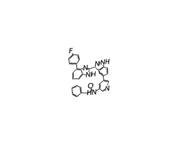 O=C(Cc1ccccc1)Nc1cncc(-c2ccc3[nH]nc(-c4nc5c(-c6ccc(F)cc6)cccc5[nH]4)c3c2)c1